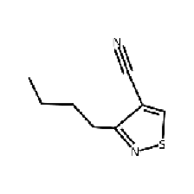 CCCCc1nscc1C#N